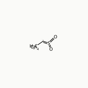 C.C[C]=S(=O)=O